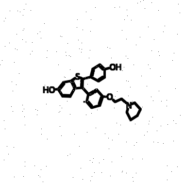 Oc1ccc(-c2sc3cc(O)ccc3c2-c2[c]ccc(OCCN3CCCCC3)c2)cc1